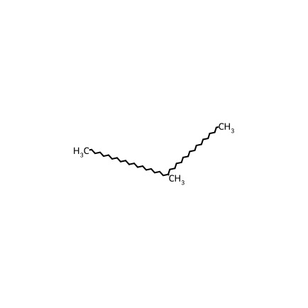 CCCCCCCCCCCCCCCCCCCC(C)CCCCCCCCCCCCCCCC